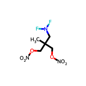 CC(CO[N+](=O)[O-])(CO[N+](=O)[O-])CN(F)F